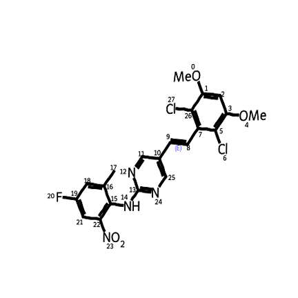 COc1cc(OC)c(Cl)c(/C=C/c2cnc(Nc3c(C)cc(F)cc3[N+](=O)[O-])nc2)c1Cl